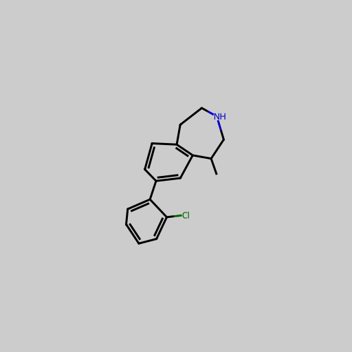 CC1CNCCc2ccc(-c3ccccc3Cl)cc21